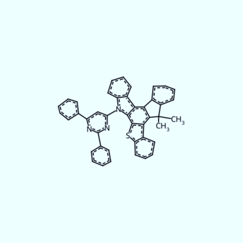 CC1(C)c2ccccc2-c2c1c1c3ccccc3sc1c1c2c2ccccc2n1-c1cc(-c2ccccc2)nc(-c2ccccc2)n1